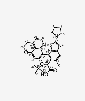 Cc1cc2nc(N3CCCC3)sc2c(-c2ccc3c4c(ccnc24)CCO3)c1[C@H](OC(C)(C)C)C(=O)O